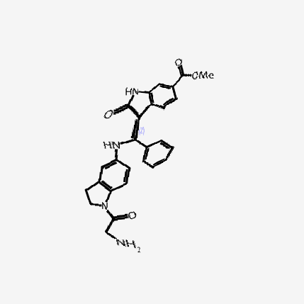 COC(=O)c1ccc2c(c1)NC(=O)/C2=C(\Nc1ccc2c(c1)CCN2C(=O)CN)c1ccccc1